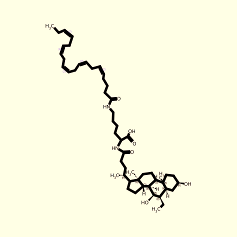 CC/C=C\C/C=C\C/C=C\C/C=C\C/C=C\CCCC(=O)NCCCCC(NC(=O)CC[C@@H](C)C1CC[C@H]2[C@@H]3[C@H](O)[C@H](CC)[C@@H]4C[C@H](O)CC[C@]4(C)[C@H]3CC[C@]12C)C(=O)O